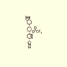 Cn1cc2cc(-c3ccc(-c4ccc(C5CNC5)nn4)c(OC(=O)C(F)(F)F)c3)ccc2n1